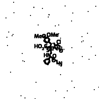 COc1ccc([C@H](Cc2c(Cl)c[n+]([O-])cc2Cl)c2cc(CNC(C(=O)OCCN(C)C)c3ccccc3)sc2C(=O)O)cc1OC